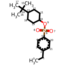 CCc1ccc(S(=O)(=O)OC2CCC(C(C)(C)C)CC2)cc1